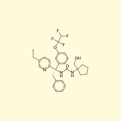 O=C(NC1(CO)CCCC1)N[C@](Cc1ccccc1)(c1cccc(OC(F)(F)C(F)F)c1)c1ccc(CI)cn1